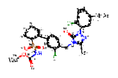 CCCc1nn(-c2cc(NC(C)=O)ccc2Cl)c(=O)n1Cc1ccc(-c2ccccc2S(=O)(=O)NC(=O)OC(C)(C)C)cc1F